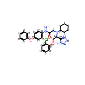 O=C(CN(C1CCCCC1)C(COc1ccccc1Cl)c1nnn[nH]1)Nc1ccc(Oc2ccccc2)cc1